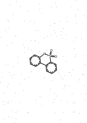 O=S1(=O)[N]c2ccccc2-c2ccccc21